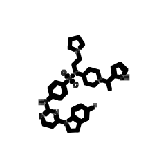 CC(c1ccc[nH]1)N1CCC(N(CCN2CCCC2)S(=O)(=O)c2ccc(Nc3nccc(N4CCc5cc(F)ccc54)n3)cc2)CC1